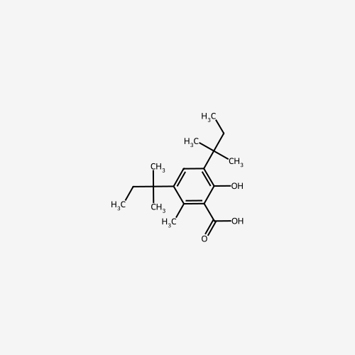 CCC(C)(C)c1cc(C(C)(C)CC)c(O)c(C(=O)O)c1C